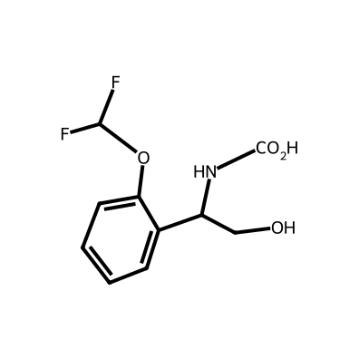 O=C(O)NC(CO)c1ccccc1OC(F)F